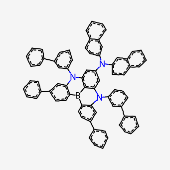 c1ccc(-c2cccc(N3c4cc(-c5ccccc5)ccc4B4c5ccc(-c6ccccc6)cc5N(c5cccc(-c6ccccc6)c5)c5cc(N(c6ccc7ccccc7c6)c6ccc7ccccc7c6)cc3c54)c2)cc1